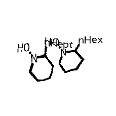 CCCCCCC1CCCCN1O.CCCCCCCC1CCCCN1O